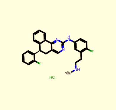 CCCCNCCc1cc(Nc2ncc3c(n2)-c2ccccc2[C@H](c2ccccc2F)C3)ccc1F.Cl